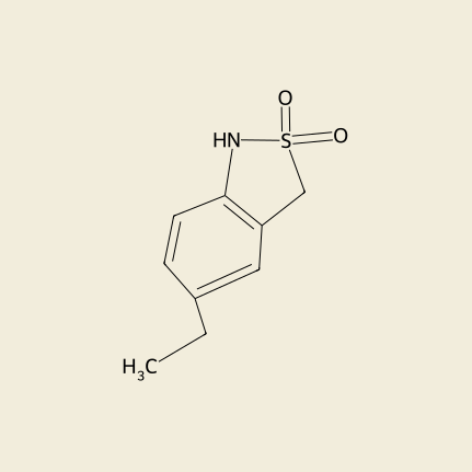 CCc1ccc2c(c1)CS(=O)(=O)N2